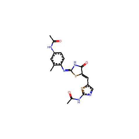 CC(=O)Nc1ccc(N=C2NC(=O)C(=Cc3cnc(NC(C)=O)s3)S2)c(C)c1